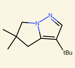 CC1(C)Cc2c(C(C)(C)C)cnn2C1